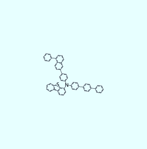 c1ccc(-c2ccc(-c3ccc(N(c4ccc(-c5ccc6c(-c7ccccc7)cccc6c5)cc4)c4cccc5c4sc4ccccc45)cc3)cc2)cc1